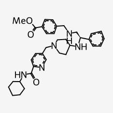 COC(=O)c1ccc(CNC[C@H](NC2CCN(Cc3ccc(C(=O)NC4CCCCC4)nc3)CC2)c2ccccc2)cc1